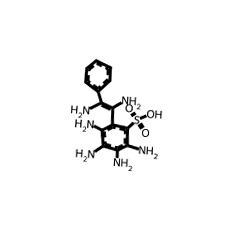 NC(=C(N)c1c(N)c(N)c(N)c(N)c1S(=O)(=O)O)c1ccccc1